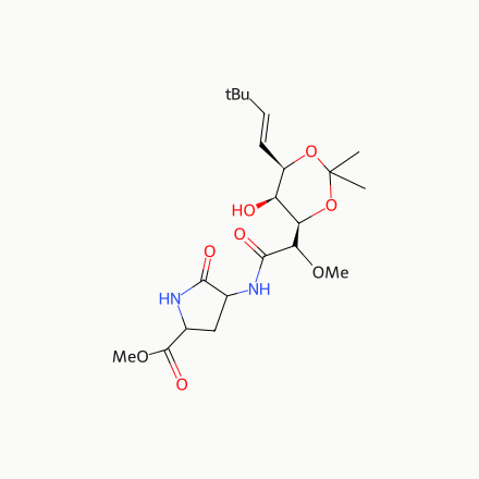 COC(=O)C1CC(NC(=O)C(OC)[C@@H]2OC(C)(C)O[C@H](C=CC(C)(C)C)[C@@H]2O)C(=O)N1